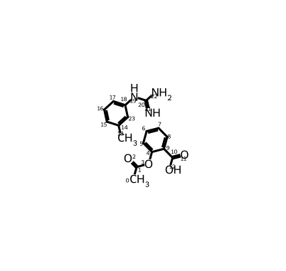 CC(=O)Oc1ccccc1C(=O)O.Cc1cccc(NC(=N)N)c1